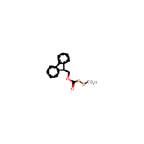 O=C(O)SSC(=O)OCC1c2ccccc2-c2ccccc21